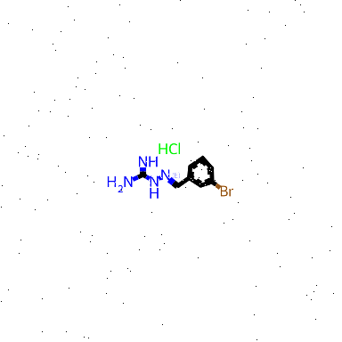 Cl.N=C(N)N/N=C/c1cccc(Br)c1